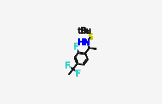 C[C@H](NSC(C)(C)C)c1ccc(C(C)(F)F)cc1F